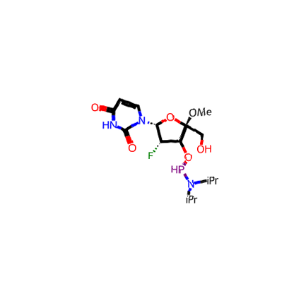 CO[C@]1(CO)O[C@@H](n2ccc(=O)[nH]c2=O)[C@@H](F)C1OPN(C(C)C)C(C)C